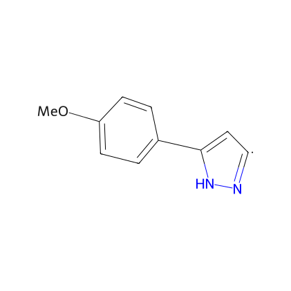 COc1ccc(-c2c[c]n[nH]2)cc1